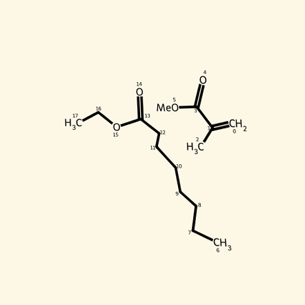 C=C(C)C(=O)OC.CCCCCCCC(=O)OCC